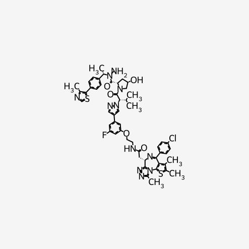 Cc1ncsc1-c1ccc([C@H](C)N(N)C(=O)[C@@H]2C[C@@H](O)CN2C(=O)[C@H](C(C)C)n2cc(-c3cc(F)cc(OCCNC(=O)C[C@@H]4N=C(c5ccc(Cl)cc5)c5c(sc(C)c5C)-n5c(C)nnc54)c3)cn2)cc1